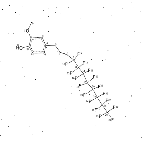 COc1cc(CCCC(F)(F)C(F)(F)C(F)(F)C(F)(F)C(F)(F)C(F)(F)C(F)(F)C(F)(F)F)ccc1O